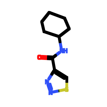 O=C(NC1CCCCC1)c1csnn1